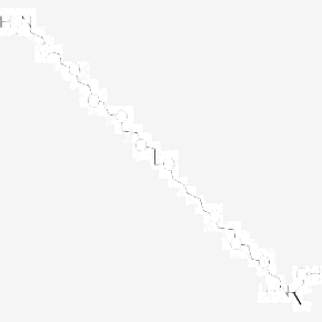 C=C(CO)NCCOCCOCCOCCCCCOCCOCCOCCOCCOCCOCCN